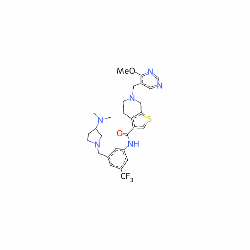 COc1ncncc1CN1CCc2c(C(=O)Nc3cc(CN4CCC(N(C)C)C4)cc(C(F)(F)F)c3)csc2C1